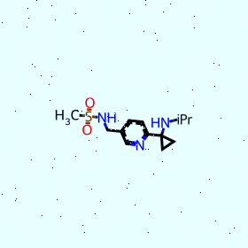 CC(C)NC1(c2ccc(CNS(C)(=O)=O)cn2)CC1